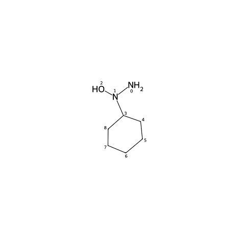 NN(O)C1CCCCC1